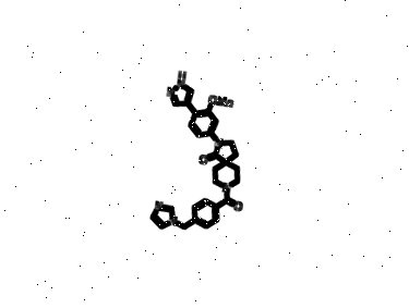 COc1cc(N2CCC3(CCN(C(=O)c4ccc(Cn5ccnc5)cc4)CC3)C2=O)ccc1-c1cn[nH]c1